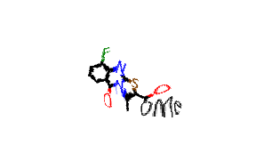 COC(=O)c1sc2nc3c(F)cccc3c(=O)n2c1C